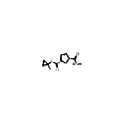 CNC(=O)[C@@H]1CC[C@H](C(=O)NC2(C)CC2)C1